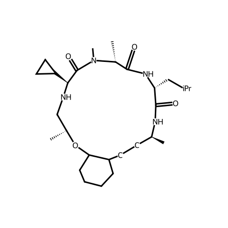 CC(C)C[C@H]1NC(=O)[C@@H](C)N(C)C(=O)[C@H](C2CC2)NC[C@@H](C)OC2CCCCC2CC[C@H](C)NC1=O